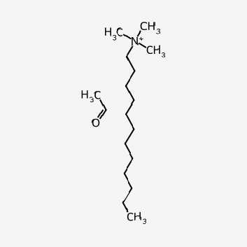 CC=O.CCCCCCCCCCCC[N+](C)(C)C